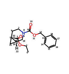 CCOC(=O)[C@@]12CCN(C(=O)OCc3ccccc3)C[C@@H]1C2